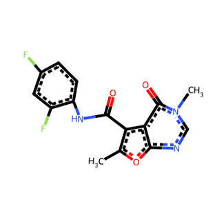 Cc1oc2ncn(C)c(=O)c2c1C(=O)Nc1ccc(F)cc1F